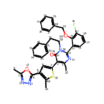 Cc1nnc(-c2cc(-c3c(C)nc(-c4cccc(F)c4OCc4ccccc4)n(CCc4ccccc4)c3=O)sc2C)o1